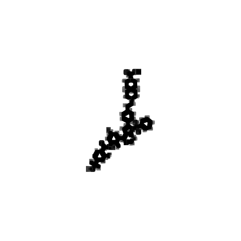 Cc1c(NC(=O)c2ccc(C(C)(C)O)cc2F)cc(F)cc1-c1ncnc2c1cc(-c1ccc(CCN3CCC4(CC3)CCN(C(=O)O)CC4)cc1)n2S(=O)(=O)c1ccccc1